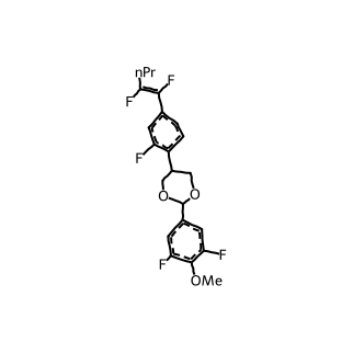 CCC/C(F)=C(\F)c1ccc(C2COC(c3cc(F)c(OC)c(F)c3)OC2)c(F)c1